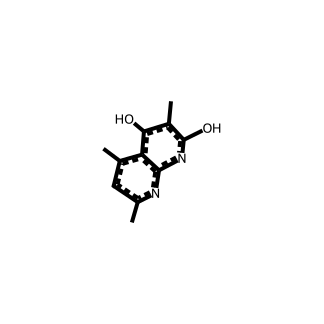 Cc1cc(C)c2c(O)c(C)c(O)nc2n1